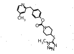 Cc1ccnc(Cc2ccc(OC(=O)N3CCC(Sc4nnnn4C)CC3)cc2)c1